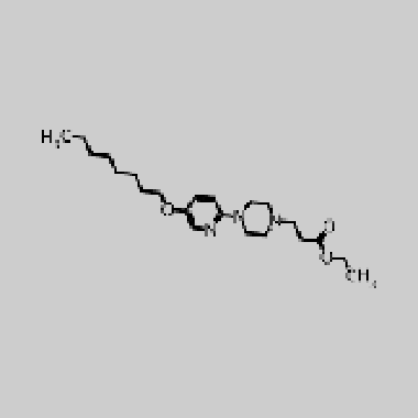 CCCCCCCCOc1ccc(N2CCN(CCC(=O)OCC)CC2)nc1